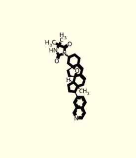 CC1(C)NC(=O)N([C@H]2CCC3=CC4=CC[C@]5(C)[C@@H](c6ccc7ccncc7c6)CC[C@H]5[C@@]45CC[C@]3(C2)O5)C1=O